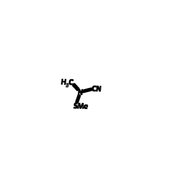 CSN(C)C#N